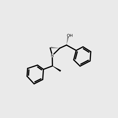 C[C@@H](c1ccccc1)N1C[C@@H]1[C@H](O)c1ccccc1